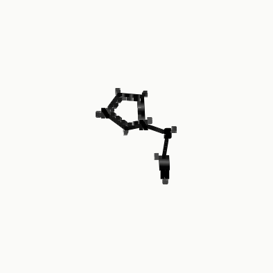 N#CSn1ccnc1